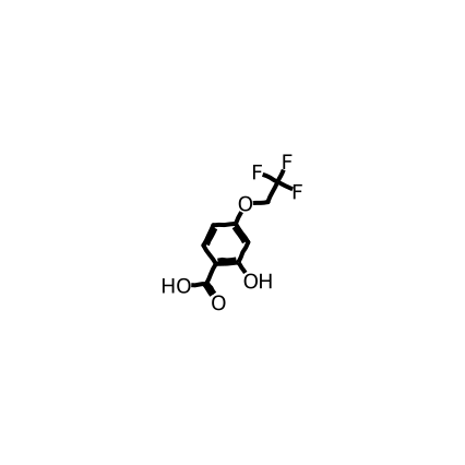 O=C(O)c1ccc(OCC(F)(F)F)cc1O